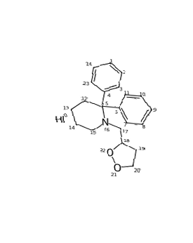 I.c1ccc(C2(c3ccccc3)CCCCN2CC2CCOO2)cc1